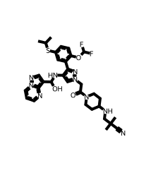 CC(C)Sc1ccc(OC(F)F)c(-c2nn(CC(=O)N3CCC(NCC(C)(C)C#N)CC3)cc2NC(O)c2cnn3cccnc23)c1